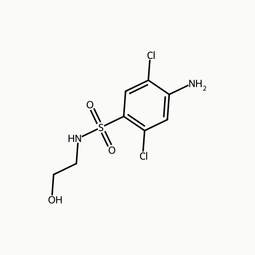 Nc1cc(Cl)c(S(=O)(=O)NCCO)cc1Cl